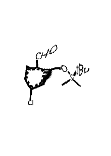 CC(C)(C)[Si](C)(C)Oc1cc(Cl)ccc1C=O